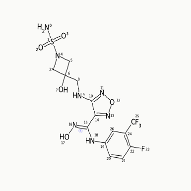 NS(=O)(=O)N1CC(O)(CNc2nonc2/C(=N/O)Nc2ccc(F)c(C(F)(F)F)c2)C1